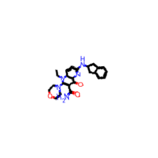 CCn1c(N2CCOCC2)c(C(N)=O)c(=O)c2nc(NC3Cc4ccccc4C3)ccc21